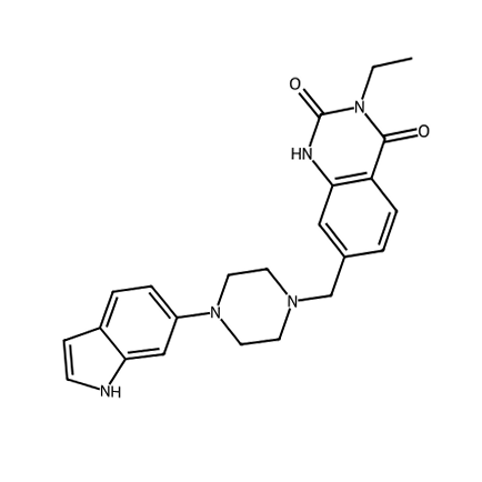 CCn1c(=O)[nH]c2cc(CN3CCN(c4ccc5cc[nH]c5c4)CC3)ccc2c1=O